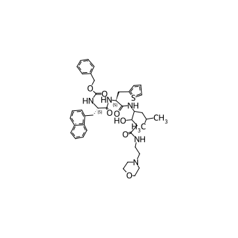 CC(C)CC(NC(=O)[C@H](Cc1cccs1)NC(=O)[C@H](Cc1cccc2ccccc12)NC(=O)OCc1ccccc1)C(O)CC(=O)NCCN1CCOCC1